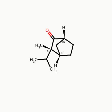 CC(C)[C@]1(C)C(=O)[C@@H]2CC[C@H]1C2